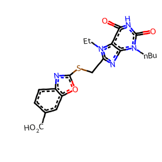 CCCCn1c(=O)[nH]c(=O)c2c1nc(CSc1nc3ccc(C(=O)O)cc3o1)n2CC